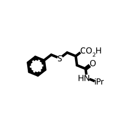 CC(C)NC(=O)CC(CSCc1ccccc1)C(=O)O